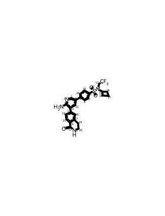 Nc1ncc(-c2ccc(S(=O)(=O)N(CC(F)(F)F)C3CCC3)cc2)cc1-c1ccc2c(c1)CCNC2=O